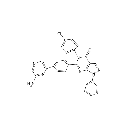 Nc1cncc(-c2ccc(-c3nc4c(cnn4-c4ccccc4)c(=O)n3-c3ccc(Cl)cc3)cc2)n1